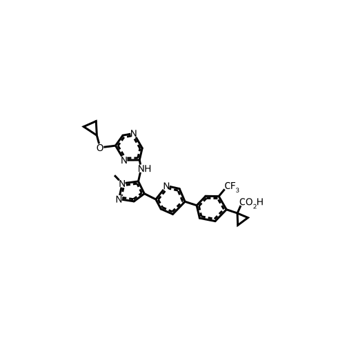 Cn1ncc(-c2ccc(-c3ccc(C4(C(=O)O)CC4)c(C(F)(F)F)c3)cn2)c1Nc1cncc(OC2CC2)n1